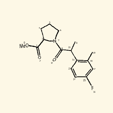 COC(=O)C1CCCN1C(=O)C(C)c1ccc(F)cc1C